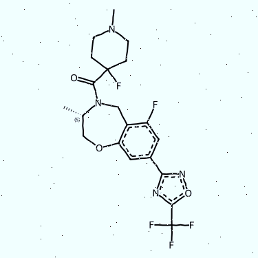 C[C@H]1COc2cc(-c3noc(C(F)(F)F)n3)cc(F)c2CN1C(=O)C1(F)CCN(C)CC1